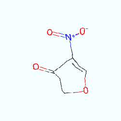 O=C1COC=C1[N+](=O)[O-]